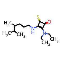 CCN(CC)c1c(NCCCC(C)C(C)C)c(=S)c1=O